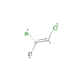 CCC(Br)=CCl